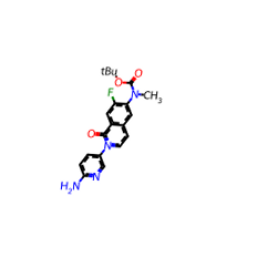 CN(C(=O)OC(C)(C)C)c1cc2ccn(-c3ccc(N)nc3)c(=O)c2cc1F